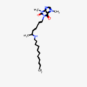 CCCCCCCCCCCNC(C)CCCCn1c(=O)c2c(ncn2C)n(C)c1=O